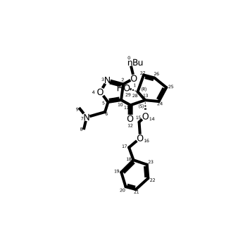 CCCCOc1noc(CN(C)C)c1C(=O)[C@]1(OCOCc2ccccc2)C=CC=C[C@H]1O